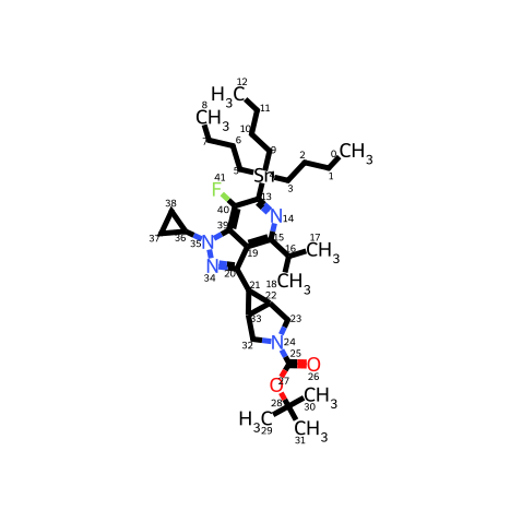 CCC[CH2][Sn]([CH2]CCC)([CH2]CCC)[c]1nc(C(C)C)c2c(C3C4CN(C(=O)OC(C)(C)C)CC43)nn(C3CC3)c2c1F